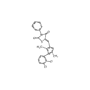 Cc1cc(C=C2SC(=O)N(c3ccccc3)C2=O)c(C)n1-c1cccc(Cl)c1Cl